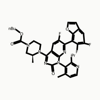 CCCCOC(=O)N1CCN(c2nc(=O)n(-c3c(C)ccnc3C(C)C)c3nc(-c4c(F)c(F)cc5ccoc45)c(F)cc23)[C@@H](C)C1